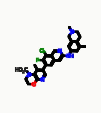 Cc1cc(Nc2cc3cc(-c4cnc5c(c4C)N(C(=O)O)CCO5)c(F)c(Cl)c3cn2)cc2c1CCN(C)C2